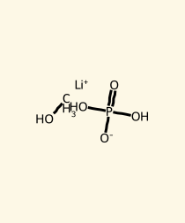 CO.O=P([O-])(O)O.[Li+]